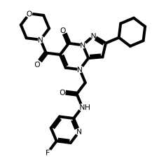 O=C(Cn1cc(C(=O)N2CCOCC2)c(=O)n2nc(C3CCCCC3)cc12)Nc1ccc(F)cn1